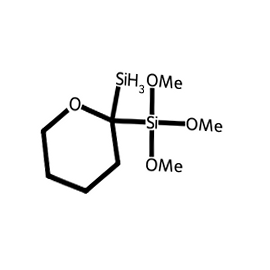 CO[Si](OC)(OC)C1([SiH3])CCCCO1